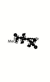 COC(=O)c1sc2c(-c3cc4c(-c5ccc(C)s5)c5sc(-c6cc(CCCCCCBr)c(-c7cc8c(-c9ccc(C)s9)c9sc(-c%10ccccc%10)cc9c(-c9ccc(C)s9)c8s7)s6)cc5c(-c5ccc(C)s5)c4s3)sc(-c3ccccc3)c2c1F